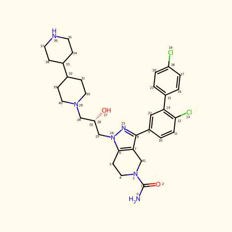 NC(=O)N1CCc2c(c(-c3ccc(Cl)c(-c4ccc(Cl)cc4)c3)nn2C[C@@H](O)CN2CCC(C3CCNCC3)CC2)C1